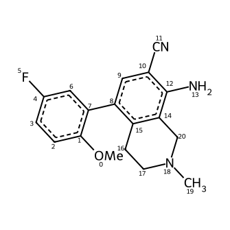 COc1ccc(F)cc1-c1cc(C#N)c(N)c2c1CCN(C)C2